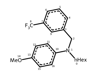 CCCCCCN(Cc1cccc(C(F)(F)F)c1)c1ccc(OC)cc1